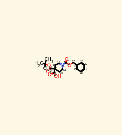 CC(C)(C)OC(=O)C1(C(=O)O)CCN(C(=O)OCc2ccccc2)CC1